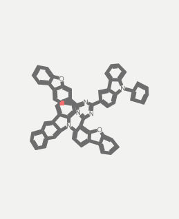 c1ccc(-n2c3ccccc3c3cc(-c4nc(-c5ccc6c(c5)oc5ccccc56)nc(-c5c(-n6c7ccccc7c7cc8ccccc8cc76)ccc6c5oc5ccccc56)n4)ccc32)cc1